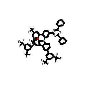 FC(F)(F)c1cc(-c2ccc3c(c2)c2cc(-c4cc(C(F)(F)F)cc(C(F)(F)F)c4)ccc2n3-c2cc(-c3nc(-c4ccccc4)nc(-c4ccccc4)n3)ccc2-c2cc(C(F)(F)F)cc(C(F)(F)F)c2)cc(C(F)(F)F)c1